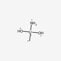 [CH3][Lr]([NH2])([OH])[OH]